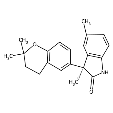 Cc1ccc2c(c1)[C@](C)(c1ccc3c(c1)CCC(C)(C)O3)C(=O)N2